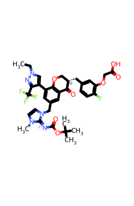 CCn1cc(-c2cc(Cn3ccn(C)/c3=N/C(=O)OC(C)(C)C)cc3c2OC[C@H](Cc2ccc(F)c(OCC(=O)O)c2)C3=O)c(C(F)(F)F)n1